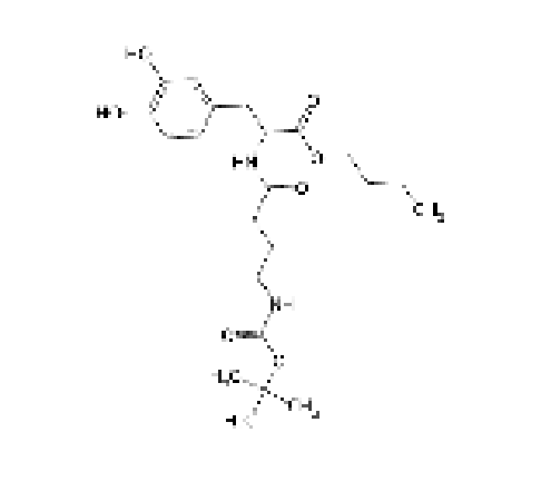 CCCCOC(=O)C(Cc1ccc(O)c(O)c1)NC(=O)CCCNC(=O)OC(C)(C)C